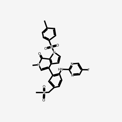 Cc1ccc(S(=O)(=O)n2ccc3c(-c4cc(CS(C)(=O)=O)ccc4Nc4ncc(F)cn4)cn(C)c(=O)c32)cc1